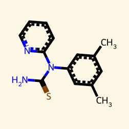 Cc1cc(C)cc(N(C(N)=S)c2ccccn2)c1